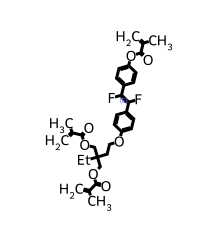 C=C(C)C(=O)OCC(CC)(CCOc1ccc(/C(F)=C(\F)c2ccc(OC(=O)C(=C)C)cc2)cc1)COC(=O)C(=C)C